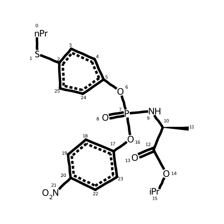 CCCSc1ccc(OP(=O)(N[C@@H](C)C(=O)OC(C)C)Oc2ccc([N+](=O)[O-])cc2)cc1